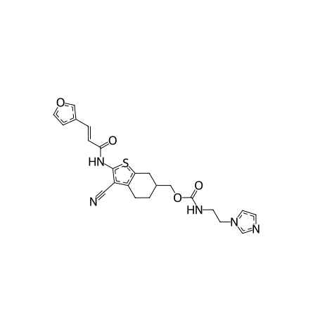 N#Cc1c(NC(=O)C=Cc2ccoc2)sc2c1CCC(COC(=O)NCCn1ccnc1)C2